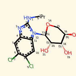 CC(C)Nc1nc2cc(Cl)c(Cl)cc2n1[C@H]1OC[C@@H](O)[C@H](O)[C@@H]1O